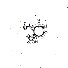 CC[C@H]1OC(=O)[C@H](C)C(=O)[C@H](C)[C@@H](OC2OC(C)CC(N(C)C)C2O)[C@](C)(OC)C[C@@H](C)/C(=N\N=C(/C)c2ccc[nH]2)[C@H](C)[C@@H](O)[C@]1(C)O